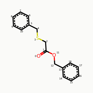 O=C(CSCc1ccccc1)OCc1ccccc1